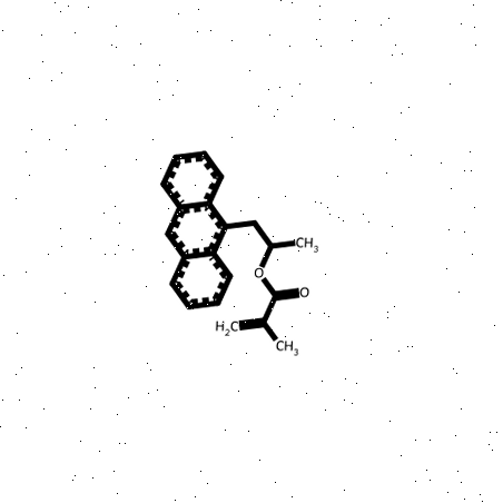 C=C(C)C(=O)OC(C)Cc1c2ccccc2cc2ccccc12